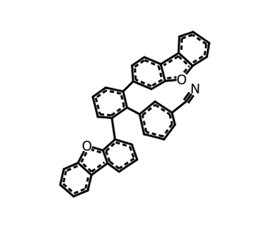 N#Cc1cccc(-c2c(-c3ccc4c(c3)oc3ccccc34)cccc2-c2cccc3c2oc2ccccc23)c1